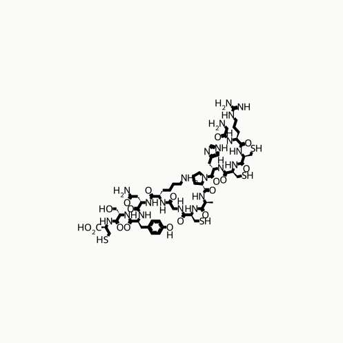 C[C@H](NC(=O)[C@@H]1CCCN1C(=O)[C@H](Cc1c[nH]cn1)NC(=O)[C@H](CS)NC(=O)[C@H](CS)NC(=O)[C@H](CCCNC(=N)N)NC(=O)CN)C(=O)N[C@@H](CS)C(=O)NCC(=O)N[C@@H](CCCCN)C(=O)N[C@@H](CC(N)=O)C(=O)N[C@@H](Cc1ccc(O)cc1)C(=O)N[C@@H](CO)C(=O)N[C@@H](CS)C(=O)O